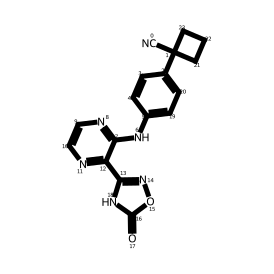 N#CC1(c2ccc(Nc3nccnc3-c3noc(=O)[nH]3)cc2)CCC1